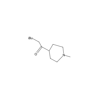 CCC(C)CC(=O)C1CCN(C)CC1